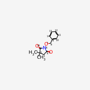 CC1(C)CC(=O)N(OCc2ccccc2)C1=O